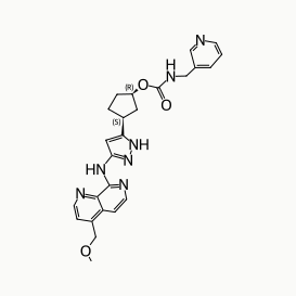 COCc1ccnc2c(Nc3cc([C@H]4CC[C@@H](OC(=O)NCc5cccnc5)C4)[nH]n3)nccc12